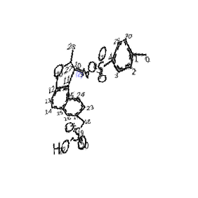 Cc1ccc(S(=O)(=O)O/N=C2/c3c(ccc4cc(CS(=O)(=O)O)ccc34)OC2C)cc1